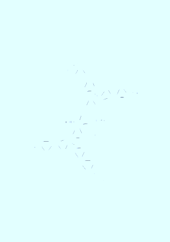 CCCCCCC1=CC(C2CC=C(N(c3ccc(-c4ccc(C(C)(C)C)cc4)cc3)c3ccc(C4C=CC(C(C)(C)CC)=CC4)cc3)C=C2C)C(CCCCCC)C=C1c1ccc(N(c2ccc(-c3ccc(C(C)(C)C)cc3)cc2)c2ccc(-c3ccc(C(C)(C)CC)cc3)cc2)cc1C